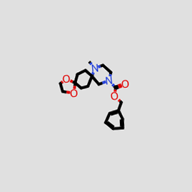 CN1CCN(C(=O)OCc2ccccc2)CC12CCC1(CC2)OCCO1